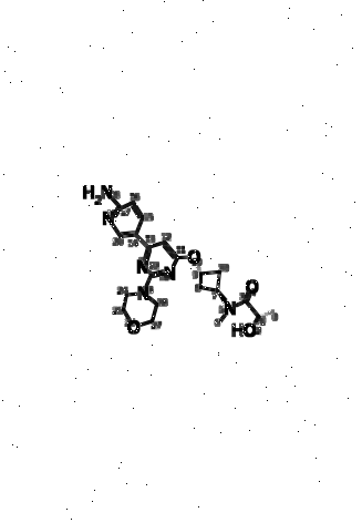 C[C@H](O)C(=O)N(C)[C@H]1C[C@H](Oc2cc(-c3ccc(N)nc3)nc(N3CCOCC3)n2)C1